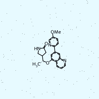 COc1ccc(-c2cc(O[C@H](C)C3CNC(=O)C3)c3cccnc3c2)nc1